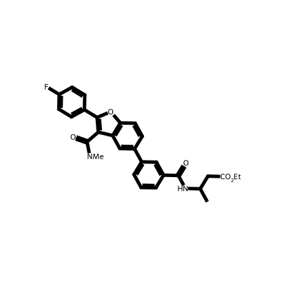 CCOC(=O)CC(C)NC(=O)c1cccc(-c2ccc3oc(-c4ccc(F)cc4)c(C(=O)NC)c3c2)c1